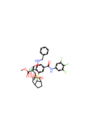 COC(=O)/C(=C/ONCc1ccccc1)C[C@]1(O)CC2CCC(C1)[C@H]2S(=O)(=O)c1cc(C(=O)Nc2cc(F)c(F)c(F)c2)ccc1Cl